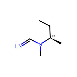 CC[C@@H](C)N(C)C=N